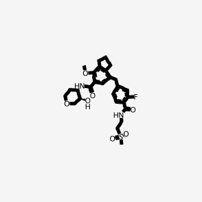 COc1c(C(=O)N[C@H]2CCOC[C@@H]2O)cc(Cc2ccc(C(=O)NCCS(C)(=O)=O)c(F)c2)c2c1CCC2